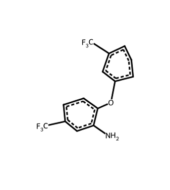 Nc1cc(C(F)(F)F)ccc1Oc1cccc(C(F)(F)F)c1